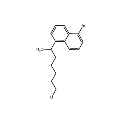 CC(CCCCC[O])c1cccc2c(Br)cccc12